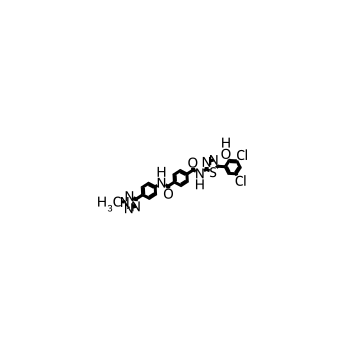 Cn1nnc(-c2ccc(NC(=O)c3ccc(C(=O)Nc4nnc(-c5cc(Cl)cc(Cl)c5O)s4)cc3)cc2)n1